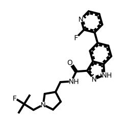 CC(C)(F)CN1CCC(CNC(=O)c2n[nH]c3ccc(-c4cccnc4F)cc23)C1